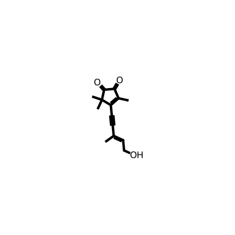 CC(C#CC1=C(C)C(=O)C(=O)C1(C)C)=CCO